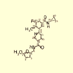 Cc1ccc(CNC(=O)c2ccc(-c3cc(C(=O)NC4CC4)cc(F)c3C)nc2)o1